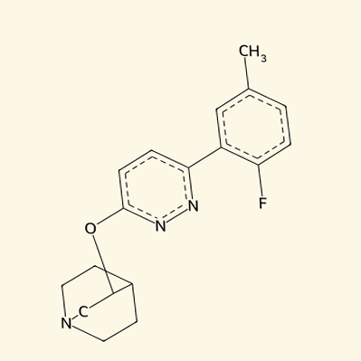 Cc1ccc(F)c(-c2ccc(OC3CN4CCC3CC4)nn2)c1